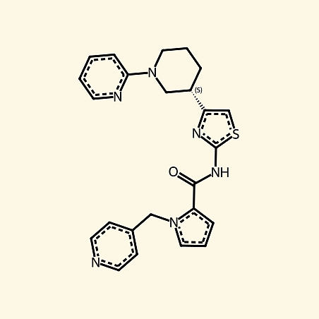 O=C(Nc1nc([C@H]2CCCN(c3ccccn3)C2)cs1)c1cccn1Cc1ccncc1